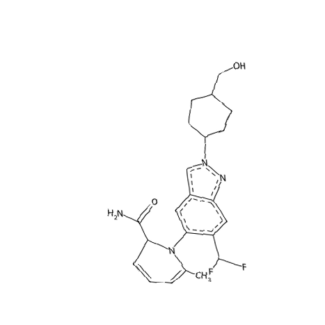 CC1=CC=CC(C(N)=O)N1c1cc2cn(C3CCC(CO)CC3)nc2cc1C(F)F